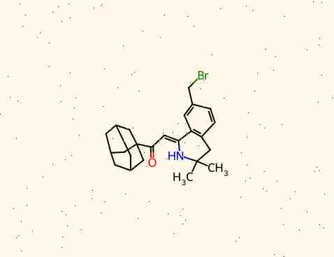 CC1(C)Cc2ccc(CBr)cc2C(=CC(=O)C23CC4CC(CC(C4)C2)C3)N1